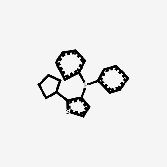 c1ccc(P(c2ccccc2)c2ccsc2C2CCCC2)cc1